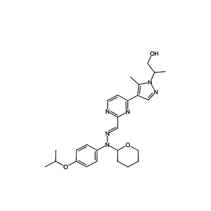 Cc1c(-c2ccnc(/C=N/N(c3ccc(OC(C)C)cc3)C3CCCCO3)n2)cnn1C(C)CO